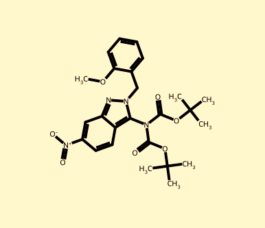 COc1ccccc1Cn1nc2cc([N+](=O)[O-])ccc2c1N(C(=O)OC(C)(C)C)C(=O)OC(C)(C)C